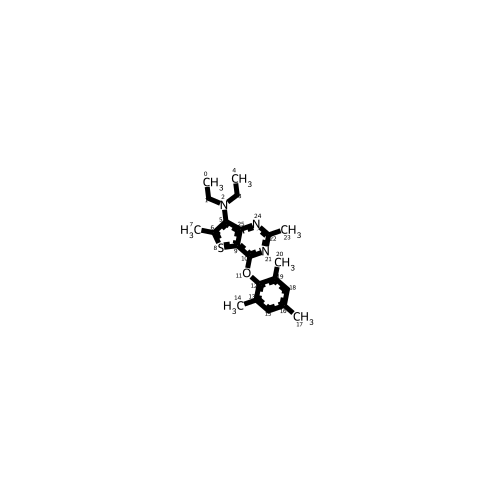 CCN(CC)c1c(C)sc2c(Oc3c(C)cc(C)cc3C)nc(C)nc12